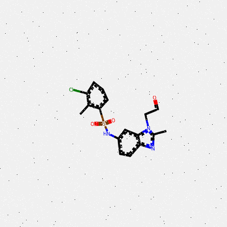 Cc1c(Cl)cccc1S(=O)(=O)Nc1ccc2nc(C)n(CC=O)c2c1